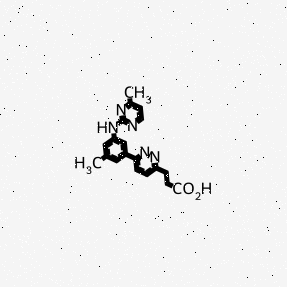 Cc1cc(Nc2nccc(C)n2)cc(-c2ccc(CCC(=O)O)nn2)c1